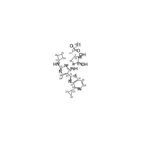 CCS(=O)(=O)C[C@H]1C[C@@H](Nc2nc(NC3CCC3)nc(C)c2-c2nc3c(C4CC4)nccc3s2)[C@H](O)[C@@H]1O